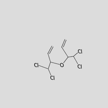 C=CC(OC(C=C)C(Cl)Cl)C(Cl)Cl